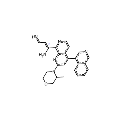 CC1COCCN1c1cc(-c2cncc3ccccc23)c2ccnc(/C(N)=C/C=N)c2n1